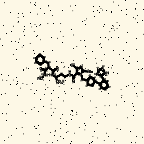 CCCCc1nc(Cl)c(C(=O)NCCC(NC(=O)C(Cc2ccccc2)C(=O)NO)C(=O)O)n1Cc1ccc(-c2ccccc2-c2nnn[nH]2)cc1